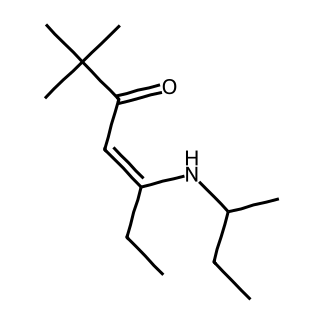 CC/C(=C/C(=O)C(C)(C)C)NC(C)CC